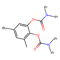 Cc1cc(C(C)(C)C)cc(OC(=O)N(C(C)C)C(C)C)c1OC(=O)N(C(C)C)C(C)C